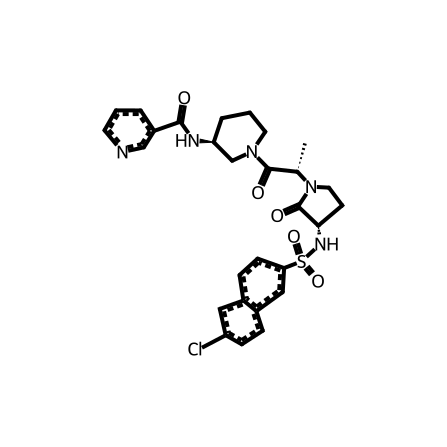 C[C@@H](C(=O)N1CCC[C@H](NC(=O)c2cccnc2)C1)N1CC[C@H](NS(=O)(=O)c2ccc3cc(Cl)ccc3c2)C1=O